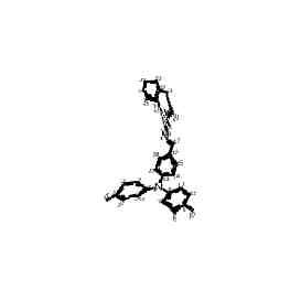 Cc1ccc(N(c2ccc(C)cc2)c2ccc(C=NN3CCc4ccccc43)cc2)cc1